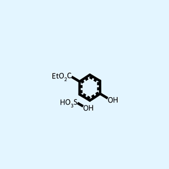 CCOC(=O)c1ccc(O)cc1.O=S(=O)(O)O